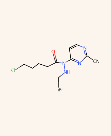 CC(C)CNN(C(=O)CCCCCl)c1ccnc(C#N)n1